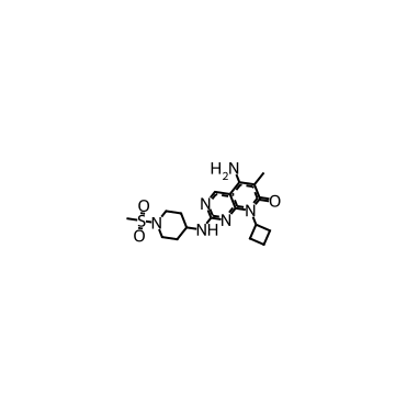 Cc1c(N)c2cnc(NC3CCN(S(C)(=O)=O)CC3)nc2n(C2CCC2)c1=O